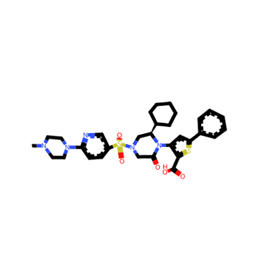 CN1CCN(c2ccc(S(=O)(=O)N3CC(=O)N(c4cc(-c5ccccc5)sc4C(=O)O)[C@H](C4CCCCC4)C3)cn2)CC1